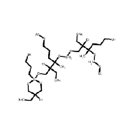 CCO[SiH2]OC(C)(CCCS)C(CC)(CO[SiH2]OC(C)(CCCSC(C)=O)C(CC)(COC(C)=O)CO[Si]1(CCCS)OCC(CC)(COC(C)=O)CO1)COC(C)=O